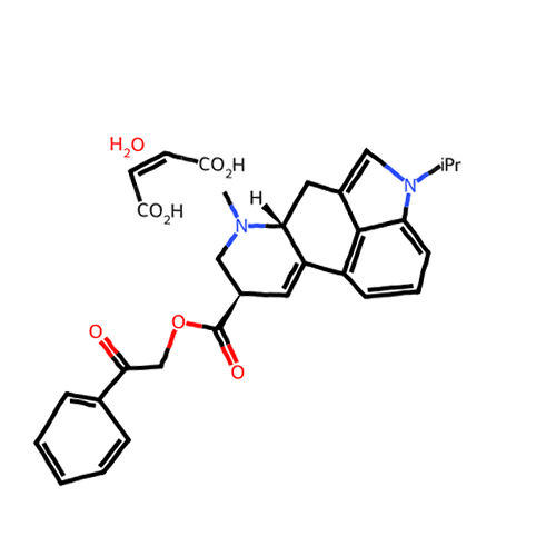 CC(C)n1cc2c3c(cccc31)C1=C[C@@H](C(=O)OCC(=O)c3ccccc3)CN(C)[C@@H]1C2.O.O=C(O)/C=C\C(=O)O